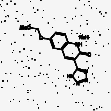 COCOc1ccc2[nH]c(=O)c(-c3nnn[nH]3)cc2c1.[NaH]